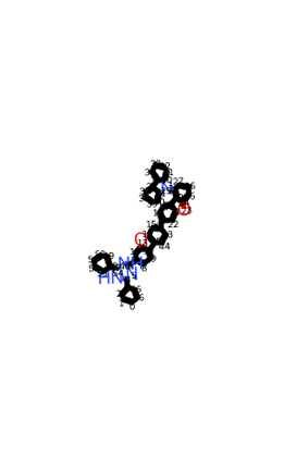 c1ccc(C2=NC(c3ccc4c(c3)oc3cc(-c5ccc6c(c5)oc5cccc(-n7c8ccccc8c8ccccc87)c56)ccc34)NC(c3ccccc3)N2)cc1